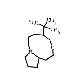 CC(C)(C)C1CCCCC2CCCN2CCC1